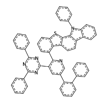 c1ccc(-c2nc(-c3ccccc3)nc(-c3cc(-c4ccccc4-c4ccccc4)cnc3-c3cccc4sc5c(ccc6c7ccccc7n(-c7ccccc7)c65)c34)n2)cc1